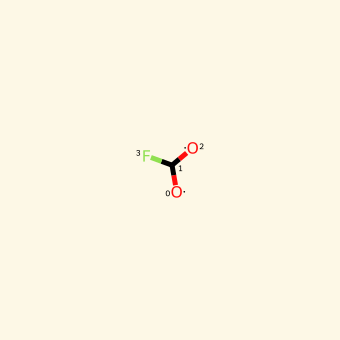 [O]C([O])F